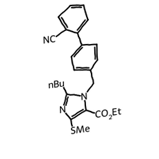 CCCCc1nc(SC)c(C(=O)OCC)n1Cc1ccc(-c2ccccc2C#N)cc1